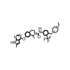 CCN1CCN(Cc2ccc(NC(=O)N3CCc4ccc(Oc5ncnc6[nH]c(C)cc56)cc4[C@@H]3C)cc2C(F)(F)F)CC1